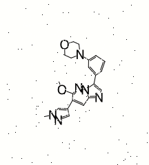 COc1nn2c(-c3cccc(N4CCOCC4)c3)cnc2cc1-c1cnn(C)c1